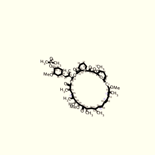 CO[C@H]1C[C@@H]2CC[C@@H](C)[C@@](O)(O2)C(=O)C(=O)N2CCCC[C@H]2C(=O)O[C@H](C(C)C[C@@H]2CC[C@@H](OP(C)(C)=O)[C@H](OC)C2)CC(=O)[C@H](C)/C=C(\C)[C@@H](O)[C@@H](OC)C(=O)[C@H](C)C[C@H](C)/C=C/C=C/C=C\1C